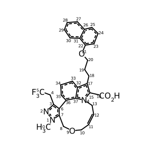 Cn1nc(CC(F)(F)F)c2c1COC/C=C\Cn1c(C(=O)O)c(CCCOc3cccc4ccccc34)c3cccc-2c31